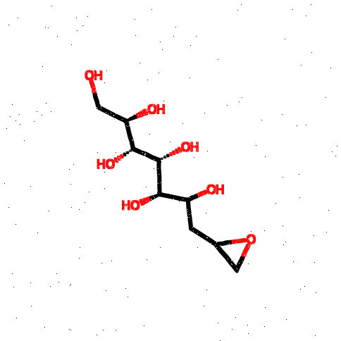 OC[C@@H](O)[C@@H](O)[C@H](O)[C@H](O)C(O)CC1CO1